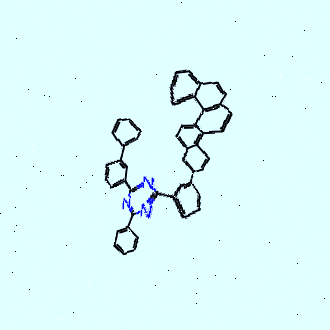 c1ccc(-c2cccc(-c3nc(-c4ccccc4)nc(-c4cccc(-c5ccc6c(ccc7c6ccc6ccc8ccccc8c67)c5)c4)n3)c2)cc1